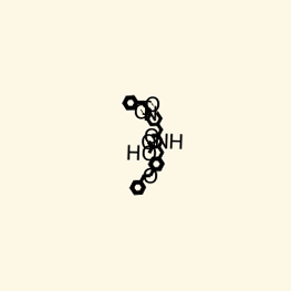 O=C(CC1CCN(S(=O)(=O)Cc2ccccc2)CC1)NC(Cc1ccc(OCc2ccccc2)cc1)C(=O)O